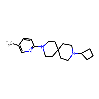 FC(F)(F)c1ccc(N2CCC3(CC2)CCN(C2CCC2)CC3)nc1